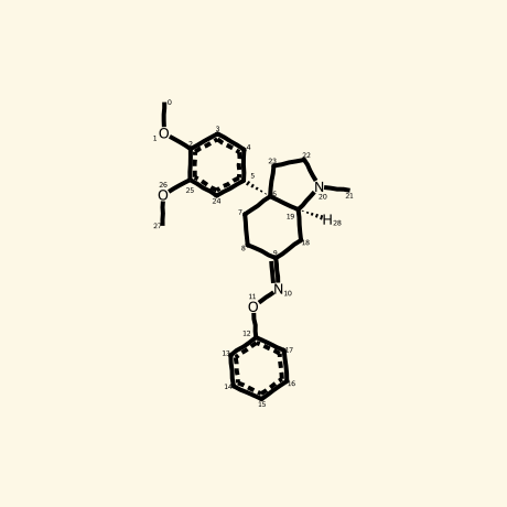 COc1ccc([C@@]23CCC(=NOc4ccccc4)C[C@@H]2N(C)CC3)cc1OC